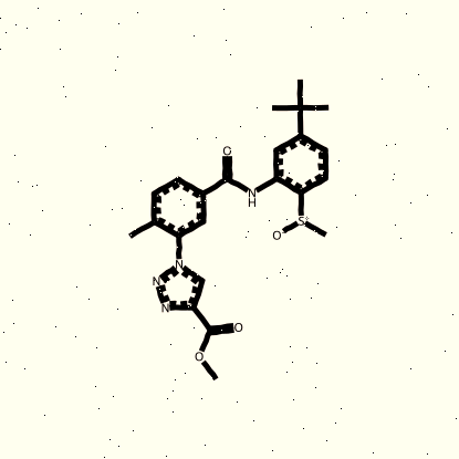 COC(=O)c1cn(-c2cc(C(=O)Nc3cc(C(C)(C)C)ccc3[S+](C)[O-])ccc2C)nn1